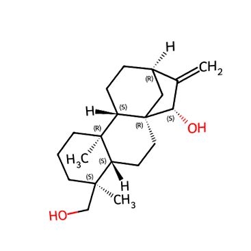 C=C1[C@@H]2CC[C@H]3[C@]4(C)CCC[C@](C)(CO)[C@H]4CC[C@]3(C2)[C@H]1O